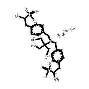 CC(Cc1ccc(CN(Cc2ccc(CC(C)P(=O)([O-])[O-])cc2)C(CO)(CO)CO)cc1)P(=O)([O-])[O-].[Na+].[Na+].[Na+].[Na+]